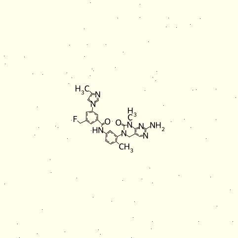 Cc1cn(-c2cc(CF)cc(C(=O)Nc3ccc(C)c(N4Cc5cnc(N)nc5N(C)C4=O)c3)c2)cn1